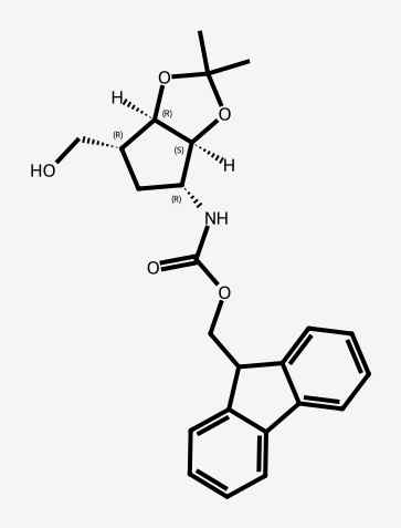 CC1(C)O[C@@H]2[C@@H](CO)C[C@@H](NC(=O)OCC3c4ccccc4-c4ccccc43)[C@@H]2O1